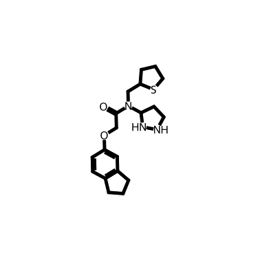 O=C(COc1ccc2c(c1)CCC2)N(CC1CCCS1)C1CCNN1